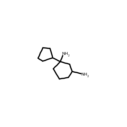 NC1CCCC(N)(C2CCCC2)C1